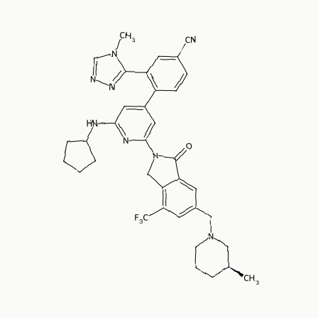 C[C@H]1CCCN(Cc2cc3c(c(C(F)(F)F)c2)CN(c2cc(-c4ccc(C#N)cc4-c4nncn4C)cc(NC4CCCC4)n2)C3=O)C1